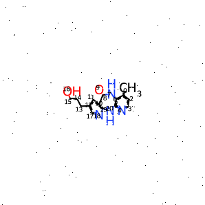 Cc1ccnc2c1NC(=O)c1cc(CCCO)cnc1N2